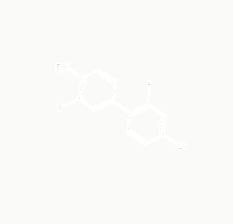 CCc1ccc(-c2ccc(C(F)(F)F)c(F)c2)c(F)c1